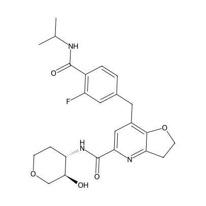 CC(C)NC(=O)c1ccc(Cc2cc(C(=O)N[C@H]3CCOC[C@@H]3O)nc3c2OCC3)cc1F